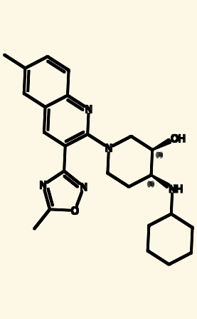 Cc1ccc2nc(N3CC[C@H](NC4CCCCC4)[C@H](O)C3)c(-c3noc(C)n3)cc2c1